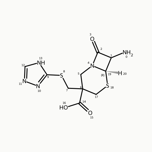 NC1C(=O)N2CC(CSc3nnc[nH]3)(C(=O)O)CS[C@H]12